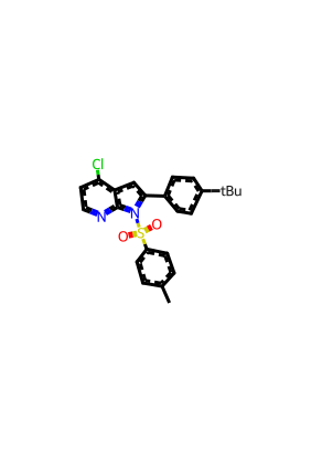 Cc1ccc(S(=O)(=O)n2c(-c3ccc(C(C)(C)C)cc3)cc3c(Cl)ccnc32)cc1